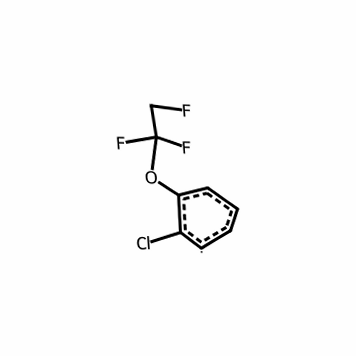 FCC(F)(F)Oc1ccc[c]c1Cl